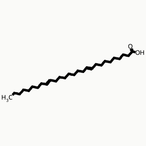 CCCCCCCCC=CCCCCCCCC=CCCCCCCCCC(=O)O